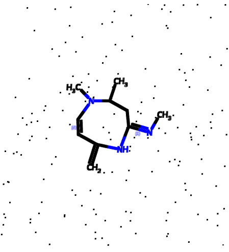 C=C1/C=C\N(C)C(C)C/C(=N\C)N1